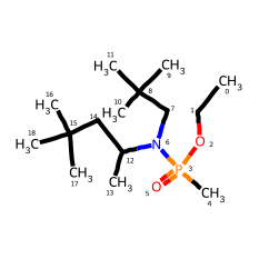 CCOP(C)(=O)N(CC(C)(C)C)C(C)CC(C)(C)C